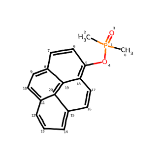 CP(C)(=O)Oc1ccc2ccc3cccc4ccc1c2c34